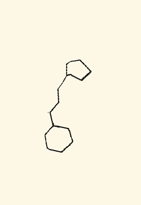 [CH](CCC1CCCC1)C1CCCCC1